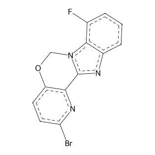 Fc1cccc2nc3n(c12)COc1ccc(Br)nc1-3